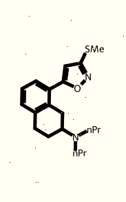 CCCN(CCC)C1CCc2cccc(-c3cc(SC)no3)c2C1